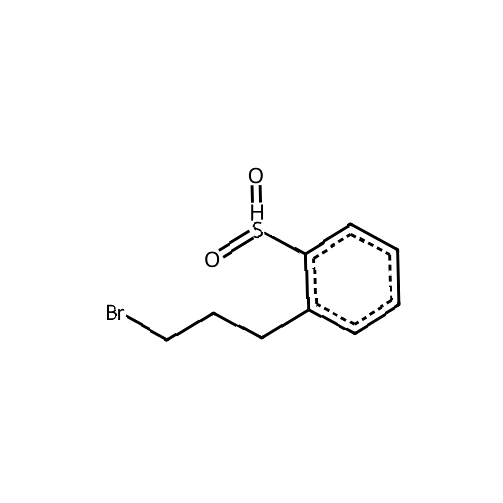 O=[SH](=O)c1ccccc1CCCBr